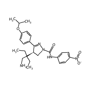 CCC(CC)(CN)[C@@H]1CN(C(=O)Nc2ccc([N+](=O)[O-])cc2)N=C1c1ccc(OC(C)C)cc1